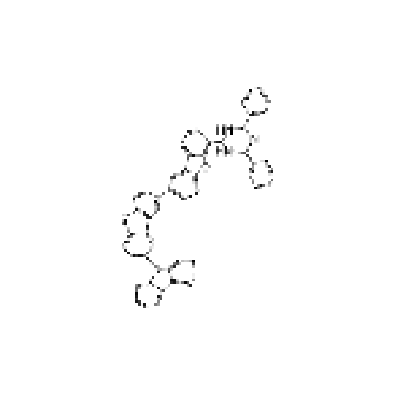 c1ccc(C2NC(c3ccccc3)NC(c3cccc4c3oc3ccc(-c5ccc6sc7ccc(-n8c9ccccc9c9ccccc98)cc7c6c5)cc34)N2)cc1